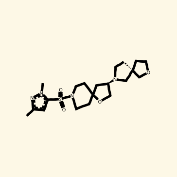 Cc1cc(S(=O)(=O)N2CCC3(CC2)C[C@@H](N2CC[C@@]4(CCOC4)C2)CO3)n(C)n1